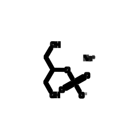 O=S(=O)([O-])OC(CO)CO.[Na+]